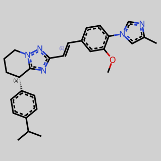 COc1cc(/C=C/c2nc3n(n2)CCC[C@H]3c2ccc(C(C)C)cc2)ccc1-n1cnc(C)c1